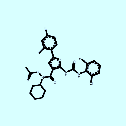 CC(=O)ON(C(=O)c1cc(-c2ccc(F)cc2C)sc1NC(=O)Nc1c(Cl)cccc1Cl)C1CCCCC1